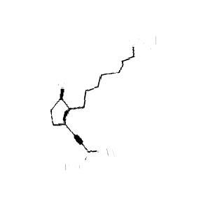 CCCCC[C@H](O)C#CC1=C(CCCCCCCC(=O)O)C(=O)CC1